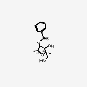 C[C@@H]1O[C@](C)(CO)C(O)C1OC(=S)c1ccccc1